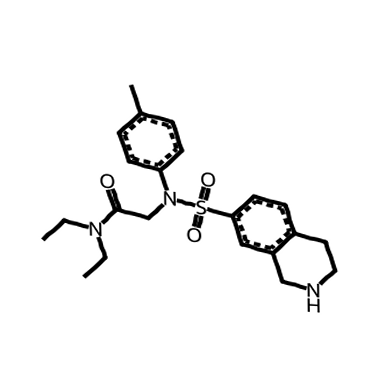 CCN(CC)C(=O)CN(c1ccc(C)cc1)S(=O)(=O)c1ccc2c(c1)CNCC2